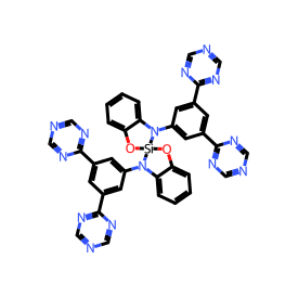 c1ccc2c(c1)O[Si]1(Oc3ccccc3N1c1cc(-c3ncncn3)cc(-c3ncncn3)c1)N2c1cc(-c2ncncn2)cc(-c2ncncn2)c1